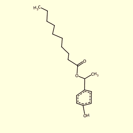 CCCCCCCCCC(=O)OC(C)c1ccc(O)cc1